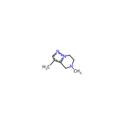 Cc1cnn2c1CN(C)CC2